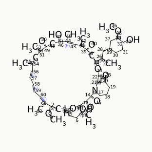 CO[C@H]1C[C@@H]2CC[C@@H](C)[C@@](O)(O2)C(=O)C(=O)N2CCCC[C@H]2C(=O)O[C@H]([C@H](C)C[C@@H]2CCC(O)[C@H](OC)C2)CC(=O)[C@H](C)/C=C(\C)[C@@H](O)CC(=O)[C@H](C)C[C@H](C)/C=C/C=C/C=C/1C